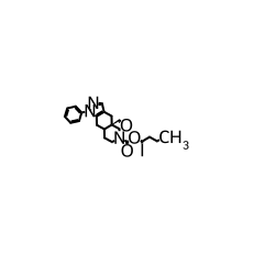 CCCC(I)OC(=O)N1CCC2Cc3c(cnn3-c3ccccc3)C[C@]2(C=O)C1